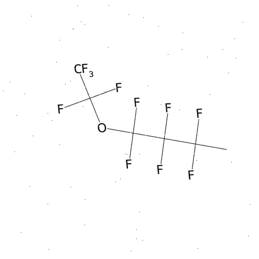 CC(F)(F)C(F)(F)C(F)(F)OC(F)(F)C(F)(F)F